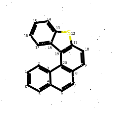 c1ccc2c(c1)ccc1ccc3sc4ccccc4c3c12